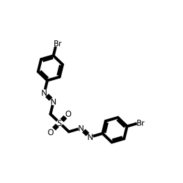 O=S(=O)(CN=Nc1ccc(Br)cc1)CN=Nc1ccc(Br)cc1